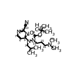 CC(C)CN(c1ccnc(C#N)n1)N(CCCN(C)C)C(=O)OC(C)(C)C